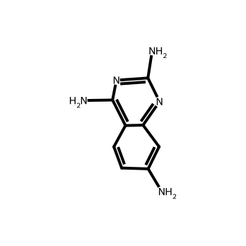 Nc1ccc2c(N)nc(N)nc2c1